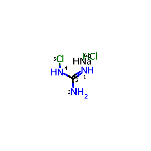 Cl.N=C(N)NCl.[NaH]